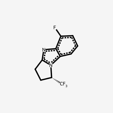 Fc1cccc2c1nc1n2[C@H](C(F)(F)F)CC1